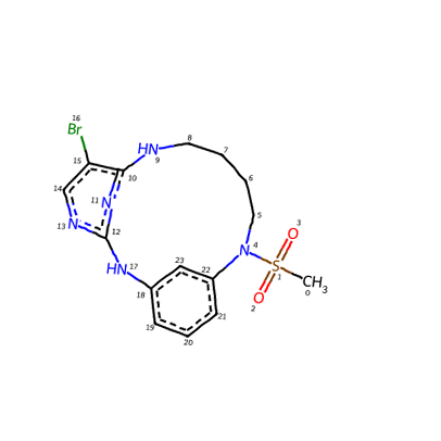 CS(=O)(=O)N1CCCCNc2nc(ncc2Br)Nc2cccc1c2